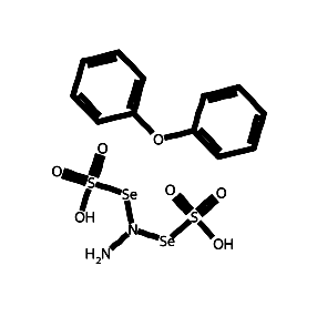 NN([Se]S(=O)(=O)O)[Se]S(=O)(=O)O.c1ccc(Oc2ccccc2)cc1